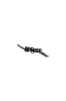 CCCCCCCCc1cnc(-c2ccc(OC(=O)c3ccc(OCC(F)CCCCCCCC)cc3)cc2)nc1